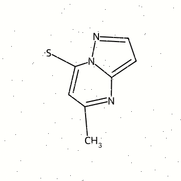 Cc1cc([S])n2nccc2n1